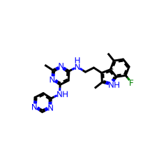 Cc1nc(NCCc2c(C)[nH]c3c(F)ccc(C)c23)cc(Nc2ccncn2)n1